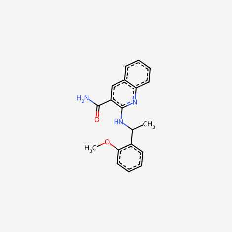 COc1ccccc1C(C)Nc1nc2ccc[c]c2cc1C(N)=O